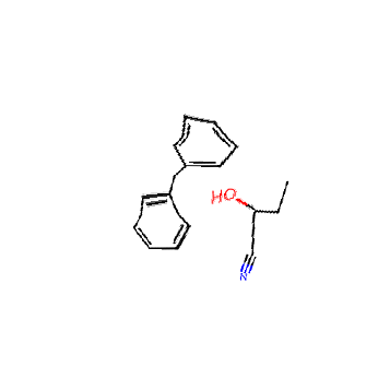 CCC(O)C#N.c1ccc(-c2ccccc2)cc1